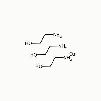 NCCO.NCCO.NCCO.[Cu]